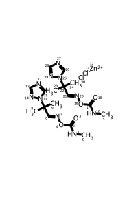 CNC(=O)ON=CC(C)(C)n1cncn1.CNC(=O)ON=CC(C)(C)n1cncn1.[Cl-].[Cl-].[Zn+2]